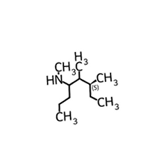 CCCC(NC)C(C)[C@@H](C)CC